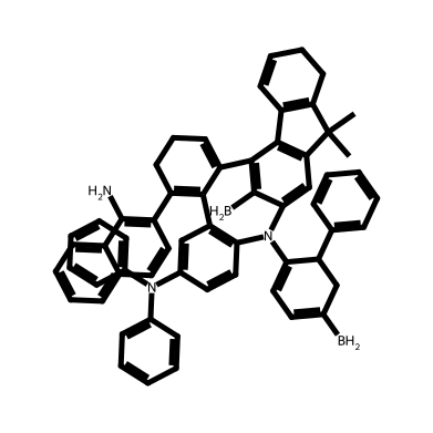 BC1=CC=C(N2c3ccc(N(c4ccccc4)c4ccccc4)cc3C3=C(c4ccc5ccccc5c4N)CCC=C3c3c(B)c2cc2c3C3=C(CCC=C3)C2(C)C)C(c2ccccc2)C1